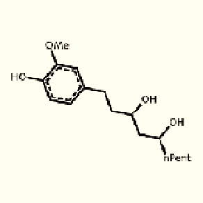 CCCCC[C@H](O)C[C@H](O)CCc1ccc(O)c(OC)c1